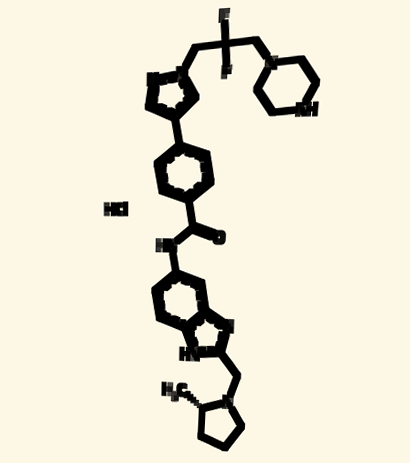 C[C@H]1CCCN1Cc1nc2cc(NC(=O)c3ccc(-c4cnn(CC(F)(F)CN5CCNCC5)c4)cc3)ccc2[nH]1.Cl